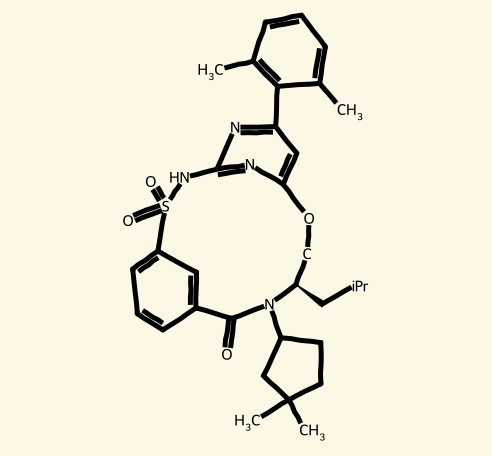 Cc1cccc(C)c1-c1cc2nc(n1)NS(=O)(=O)c1cccc(c1)C(=O)N(C1CCC(C)(C)C1)[C@H](CC(C)C)CO2